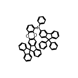 c1ccc(N(c2ccc3c(c2)-c2ccccc2C3(c2ccccc2)c2ccccc2)c2cccc3c2Oc2cc4c(cc2O3)C2(c3ccccc3-c3ccccc32)c2ccccc2-4)cc1